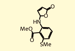 COC(=O)c1c(NC2C=CC(=O)O2)cccc1SC